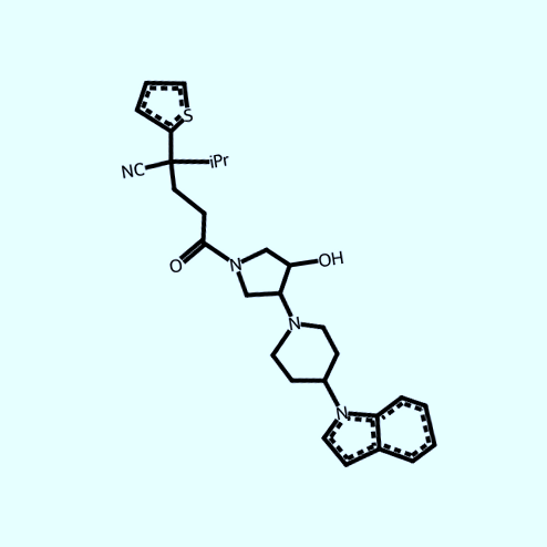 CC(C)C(C#N)(CCC(=O)N1CC(O)C(N2CCC(n3ccc4ccccc43)CC2)C1)c1cccs1